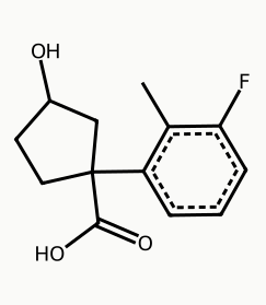 Cc1c(F)cccc1C1(C(=O)O)CCC(O)C1